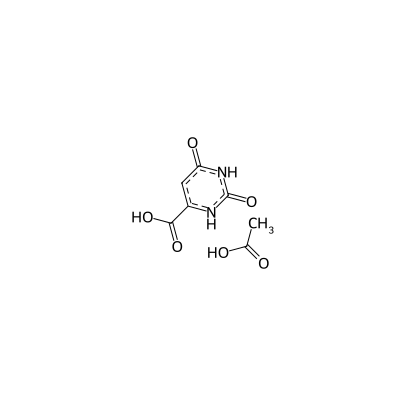 CC(=O)O.O=C(O)c1cc(=O)[nH]c(=O)[nH]1